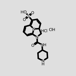 Cl.Cl.O=C(NC1CCNCC1)N1CC2C=CC(S(=O)(=O)O)=C3C=CC=C1N32